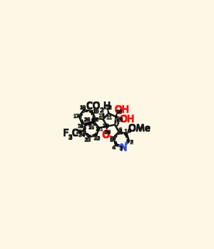 COc1cncc2c1C1C(O)(O)C(C(=O)O)C(c3ccccc3)C1(c1ccc(C(F)(F)F)cc1)O2